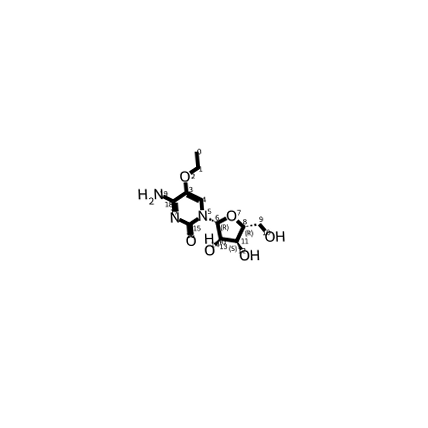 CCOc1cn([C@@H]2O[C@H](CO)[C@@H](O)[C@H]2O)c(=O)nc1N